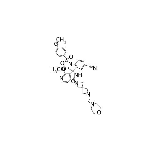 COc1ccc(S(=O)(=O)N2C(=O)C(NC(=O)N3CC4(CN(CCN5CCOCC5)C4)C3)(c3cccnc3OC)c3cc(C#N)ccc32)cc1